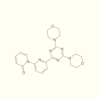 O=c1ccccn1-c1cccc(-c2nc(N3CCOCC3)nc(N3CCOCC3)n2)n1